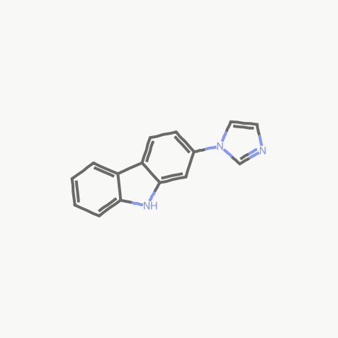 c1ccc2c(c1)[nH]c1cc(-n3ccnc3)ccc12